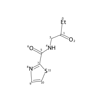 CCC(=O)CNC(=O)c1nccs1